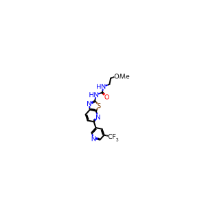 COCCNC(=O)Nc1nc2ccc(-c3cncc(C(F)(F)F)c3)nc2s1